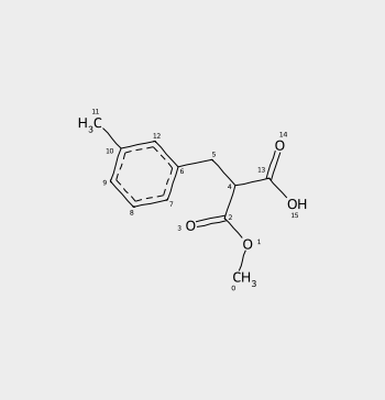 COC(=O)C(Cc1cccc(C)c1)C(=O)O